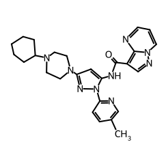 Cc1ccc(-n2nc(N3CCN(C4CCCCC4)CC3)cc2NC(=O)c2cnn3cccnc23)nc1